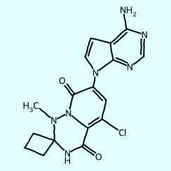 CN1n2c(c(Cl)cc(-n3ccc4c(N)ncnc43)c2=O)C(=O)NC12CCC2